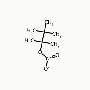 CC(C)(C)C(C)(C)O[N+](=O)[O-]